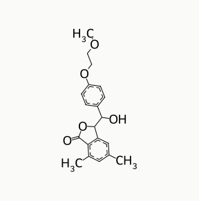 COCCOc1ccc(C(O)C2OC(=O)c3c(C)cc(C)cc32)cc1